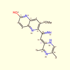 COc1cc2nc(O)ccc2nc1C(=N)/C=C1\NC=C(C)N=C1C